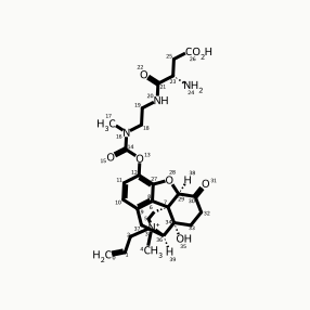 C=CC[N+]1(C)CC[C@]23c4c5ccc(OC(=O)N(C)CCNC(=O)[C@@H](N)CC(=O)O)c4O[C@H]2C(=O)CC[C@@]3(O)[C@H]1C5